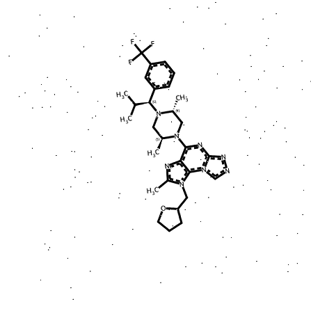 Cc1nc2c(N3C[C@@H](C)N([C@H](c4cccc(C(F)(F)F)c4)C(C)C)C[C@@H]3C)nc3nncn3c2n1CC1CCCO1